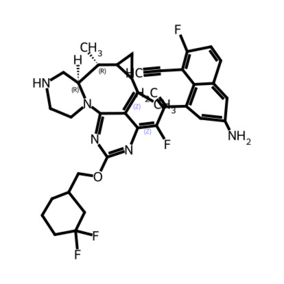 C#Cc1c(F)ccc2cc(N)cc(C(=C)/C(F)=c3/nc(OCC4CCCC(F)(F)C4)nc4/c3=C(/C)C3CC3[C@@H](C)[C@@H]3CNCCN43)c12